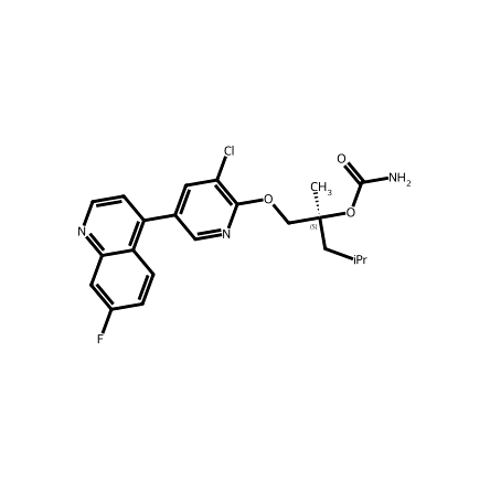 CC(C)C[C@@](C)(COc1ncc(-c2ccnc3cc(F)ccc23)cc1Cl)OC(N)=O